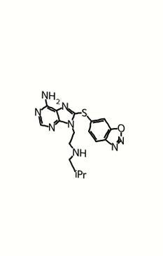 CC(C)CNCCn1c(Sc2ccc3nnoc3c2)nc2c(N)ncnc21